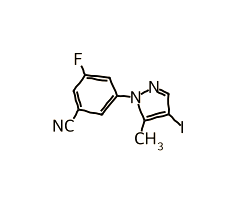 Cc1c(I)cnn1-c1cc(F)cc(C#N)c1